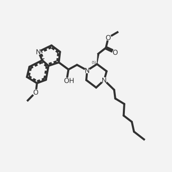 CCCCCCCN1CCN(CC(O)c2ccnc3ccc(OC)cc23)[C@@H](CC(=O)OC)C1